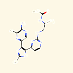 COC(=O)N[C@@H](C)CNc1nccc(-c2[nH]c(C(C)(C)C)nc2-c2cnc(N)c(C(C)=O)n2)n1